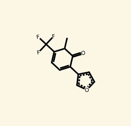 CC1C(=O)C(c2ccoc2)=CC=C1C(F)(F)F